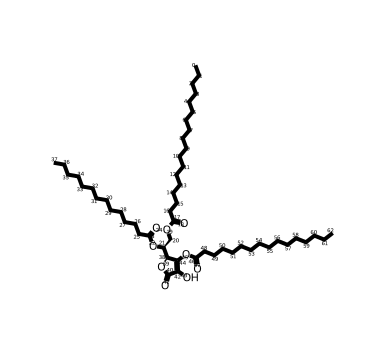 CCCCCCCCCCCCCCCCCC(=O)OC[C@H](OC(=O)CCCCCCCCCCCCC)[C@H]1OC(=O)C(O)=C1OC(=O)CCCCCCCCCCCCCCC